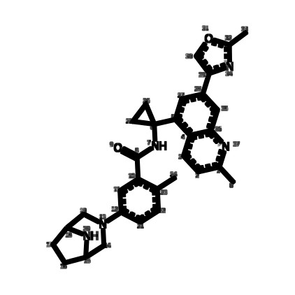 Cc1ccc2c(C3(NC(=O)c4cc(N5CC6CCC(C5)N6)ccc4C)CC3)cc(-c3coc(C)n3)cc2n1